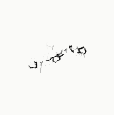 Cc1c(C(=O)NC[C@@H]2CCCO2)oc2c1-c1nn(C[C@H]3COc4ncccc4O3)cc1CC2